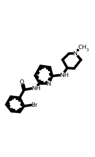 CN1CCC(Nc2cccc(NC(=O)c3ccccc3Br)n2)CC1